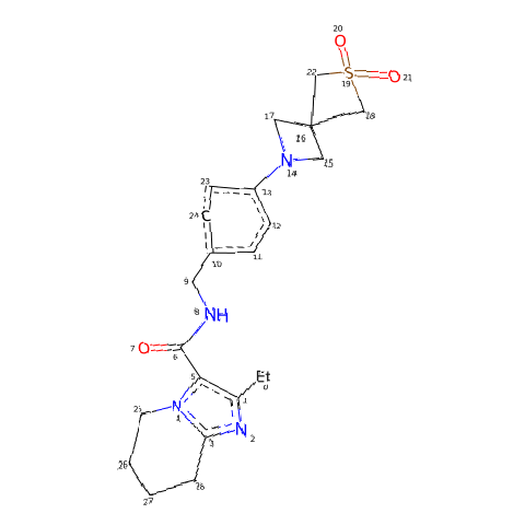 CCc1nc2n(c1C(=O)NCc1ccc(N3CC4(C3)CS(=O)(=O)C4)cc1)CCCC2